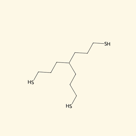 SCCCC(CCCS)CCCS